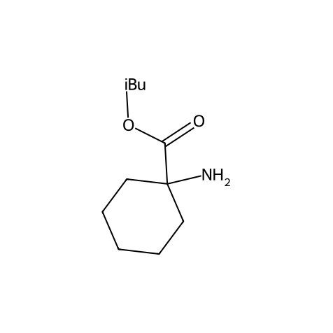 CCC(C)OC(=O)C1(N)CCCCC1